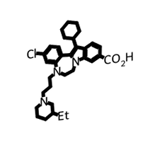 CCC1CCCN(CCCN2CCn3c(c(C4CCCCC4)c4ccc(C(=O)O)cc43)-c3ccc(Cl)cc32)C1